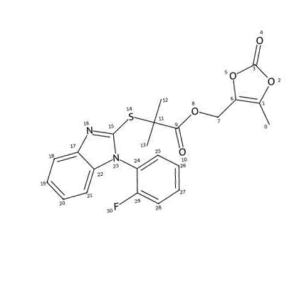 Cc1oc(=O)oc1COC(=O)C(C)(C)Sc1nc2ccccc2n1-c1ccccc1F